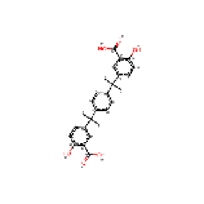 CC(C)(c1ccc(C(C)(C)c2ccc(O)c(C(=O)O)c2)cc1)c1ccc(O)c(C(=O)O)c1